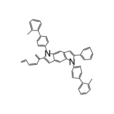 C=C/C=C\C(=C)c1cc2cc3c(cc(-c4ccccc4)n3-c3ccc(-c4ccccc4C)cc3)cc2n1-c1ccc(-c2ccccc2C)cc1